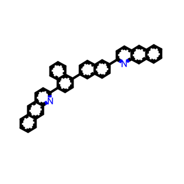 c1ccc2cc3nc(-c4ccc5cc(-c6ccc(-c7ccc8cc9ccccc9cc8n7)c7ccccc67)ccc5c4)ccc3cc2c1